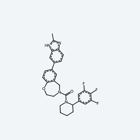 Cc1nc2ccc(-c3ccc4c(c3)CN(C(=O)N3CCCCC3c3cc(F)c(F)c(F)c3)CCO4)cc2[nH]1